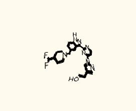 OCCc1cnn(-c2ccnc(-c3n[nH]c4ccc(CN5CCC(C(F)F)CC5)cc34)n2)c1